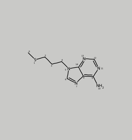 CSCCCn1cnc2c(N)ncnc21